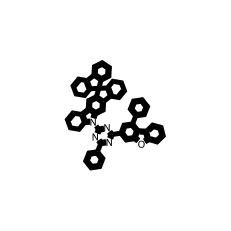 C1=CC2=C(CC1)C1(C3=C(C=CCC3)c3cc4c(cc31)c1c(n4-c3nc(-c4ccccc4)nc(-c4cc(-c5ccccc5)c5c(c4)oc4ccccc45)n3)CCC=C1)c1ccccc12